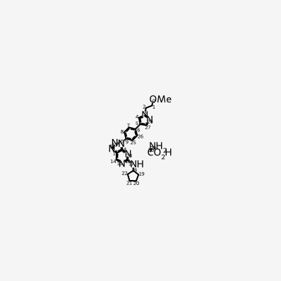 COCCn1cc(-c2ccc(-n3nnc4cnc(NC5CCCC5)nc43)cc2)cn1.NC(=O)O